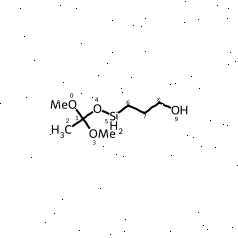 COC(C)(OC)O[SiH2]CCCO